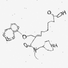 CCN(C(=O)/C(=C/CCCCC(=O)O)COc1cccc2ccccc12)C1CCNCC1